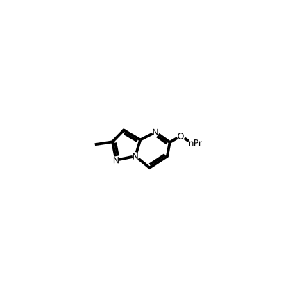 CCCOc1ccn2nc(C)cc2n1